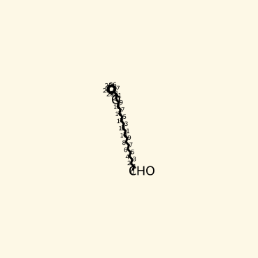 O=CCCCCCCCCCCCCCCCCCCCOCc1ccccc1